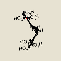 O=S(=O)(O)OCCCC(CCC(CCCCCCCCOc1ccc(-c2nc(Cl)nc(-c3ccc(OCCCCCCCCC(CCC(CCCOS(=O)(=O)O)OS(=O)(=O)O)OS(=O)(=O)O)cc3O)n2)c(O)c1)OS(=O)(=O)O)OS(=O)(=O)O